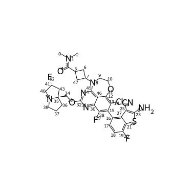 CN(C)C(=O)C1CC(N2CCOc3c(Cl)c(-c4ccc(F)c5sc(N)c(C#N)c45)c(F)c4nc(OC[C@@]56CCCN5C[C@H](F)C6)nc2c34)C1